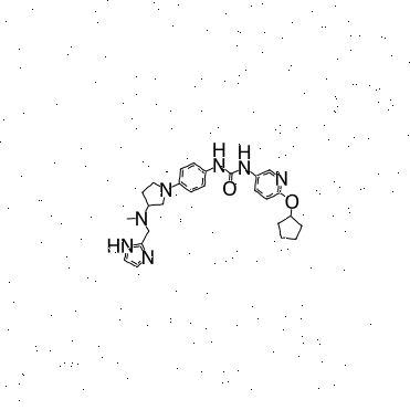 CN(Cc1ncc[nH]1)C1CCN(c2ccc(NC(=O)Nc3ccc(OC4CCCC4)nc3)cc2)C1